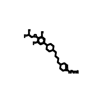 CCCCC[SiH]1CCC(CCCCC2CCC(c3cc(F)c(OCC(F)F)c(F)c3)CC2)CC1